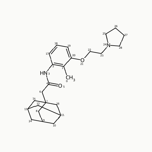 Cc1c(NC(=O)CC23CC4CC(CC(C4)C2)C3)cccc1OCCN1CCCC1